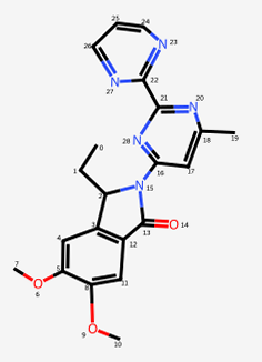 CCC1c2cc(OC)c(OC)cc2C(=O)N1c1cc(C)nc(-c2ncccn2)n1